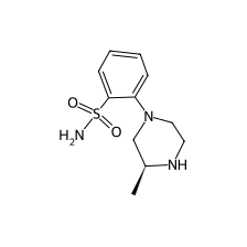 C[C@H]1CN(c2ccccc2S(N)(=O)=O)CCN1